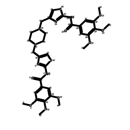 COc1cc(C(=O)Nc2nc(CN3CCN(Cc4csc(NC(=O)c5cc(OC)c(OC)c(OC)c5)n4)CC3)cs2)cc(OC)c1OC